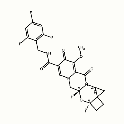 COc1c2n(cc(C(=O)NCc3c(F)cc(F)cc3F)c1=O)C[C@H]1O[C@@H]3CCC34C[C@H]4N1C2=O